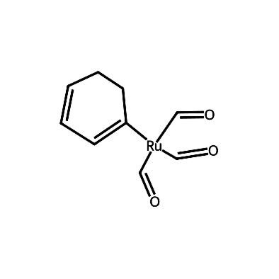 O=[CH][Ru]([CH]=O)([CH]=O)[C]1=CC=CCC1